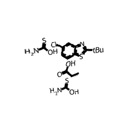 CC(C)(C)c1nc2cc(Cl)ccc2s1.CCC(=O)O.NC(O)=S.NC(O)=S